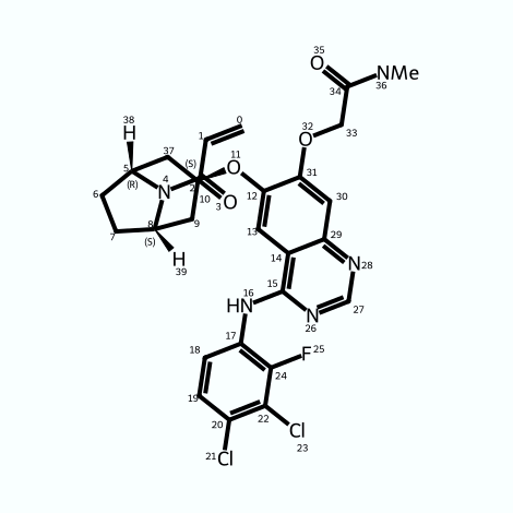 C=CC(=O)N1[C@@H]2CC[C@H]1C[C@H](Oc1cc3c(Nc4ccc(Cl)c(Cl)c4F)ncnc3cc1OCC(=O)NC)C2